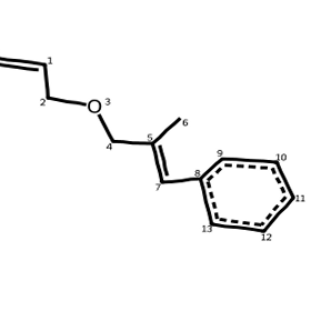 C=CCOC/C(C)=C/c1ccccc1